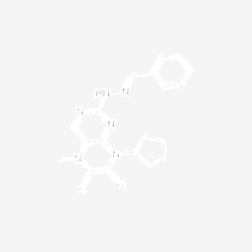 Cn1c(=O)c(=O)n(C2CCCC2)c2nc(NN=Cc3ccccc3)ncc21